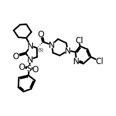 O=C([C@@H]1CN(S(=O)(=O)c2ccccc2)C(=O)N1C1CCCCC1)N1CCN(c2ncc(Cl)cc2Cl)CC1